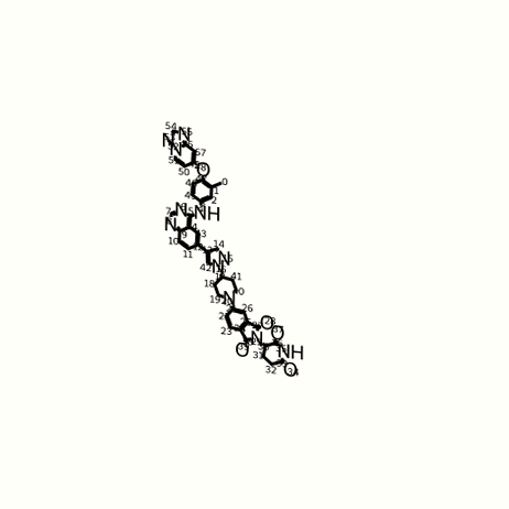 Cc1cc(Nc2ncnc3ccc(-c4cnn(C5CCN(c6ccc7c(c6)C(=O)N(C6CCC(=O)NC6=O)C7=O)CC5)c4)cc23)ccc1Oc1ccn2ncnc2c1